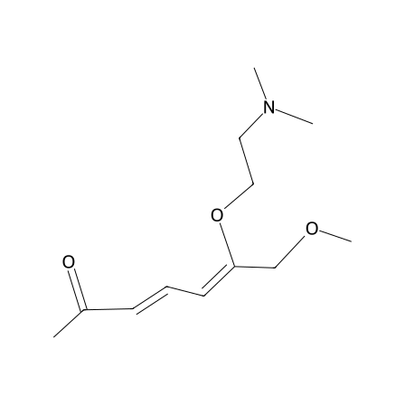 COC/C(=C/C=C/C(C)=O)OCCN(C)C